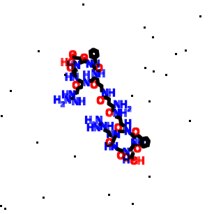 N=C(N)NCCC[C@@H]1NC(=O)[C@H](CCCCNC(=O)CC[C@@H](N)C(=O)NCCCC[C@@H]2NC(=O)[C@@H](Cc3ccccc3)NC(=O)[C@H](CC(=O)O)NC(=O)CNC(=O)[C@H](CCCNC(=N)N)NC2=O)NC(=O)[C@@H](Cc2ccccc2)NC(=O)[C@H](CC(=O)O)NC(=O)CNC1=O